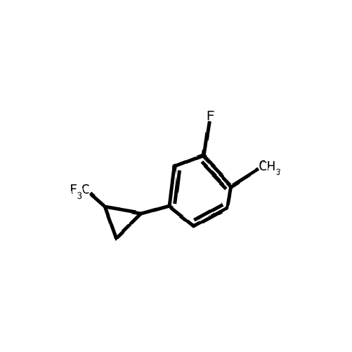 Cc1ccc(C2CC2C(F)(F)F)cc1F